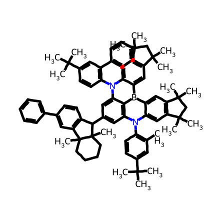 Cc1cc(C(C)(C)C)ccc1N1c2cc3c(cc2B2c4cc5c(cc4N(c4ccc(C(C)(C)C)cc4-c4ccccc4)c4cc(C6c7ccc(-c8ccccc8)cc7C7(C)CCCCC67C)cc1c42)C(C)(C)CC5(C)C)C(C)(C)CC3(C)C